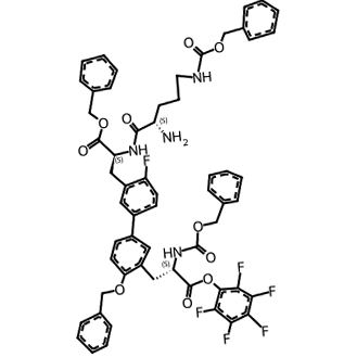 N[C@@H](CCCNC(=O)OCc1ccccc1)C(=O)N[C@@H](Cc1cc(-c2ccc(OCc3ccccc3)c(C[C@H](NC(=O)OCc3ccccc3)C(=O)Oc3c(F)c(F)c(F)c(F)c3F)c2)ccc1F)C(=O)OCc1ccccc1